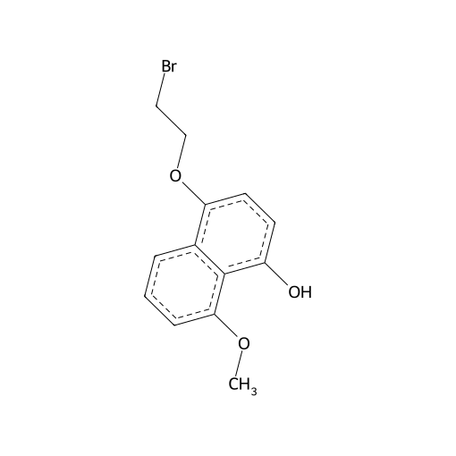 COc1cccc2c(OCCBr)ccc(O)c12